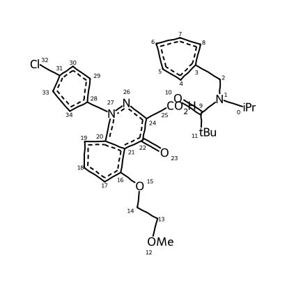 CC(C)N(Cc1ccccc1)C(=O)C(C)(C)C.COCCOc1cccc2c1c(=O)c(C(=O)O)nn2-c1ccc(Cl)cc1